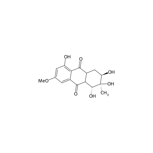 COc1cc(O)c2c(c1)C(=O)C1C(C[C@@H](O)[C@@](C)(O)[C@@H]1O)C2=O